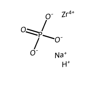 O=P([O-])([O-])[O-].[H+].[Na+].[Zr+4]